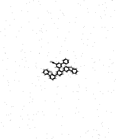 N#Cc1cc(-c2ccccc2)cc(-c2cc(-c3cccc4c3sc3ccccc34)ccc2-c2ccc3sc4ccccc4c3c2)c1